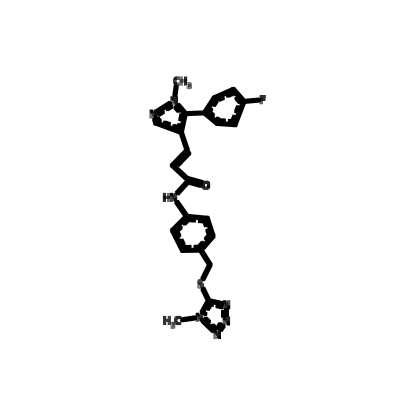 Cn1nnnc1SCc1ccc(NC(=O)C=Cc2cnn(C)c2-c2ccc(F)cc2)cc1